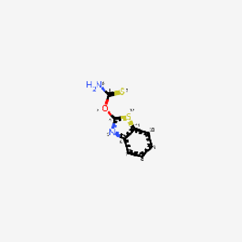 NC(=S)Oc1nc2ccccc2s1